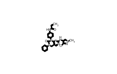 C=CC(=O)Nc1ccc(N2C(=O)N(c3ccccc3)Cc3cnc(Nc4cn(C)nc4Cl)nc32)cc1